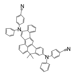 CC1(C)c2cc(N(c3ccccc3)c3ccc(C#N)cc3)ccc2-c2cc3c4ccccc4c(N(c4ccccc4)c4ccc(C#N)cc4)cc3c3cccc1c23